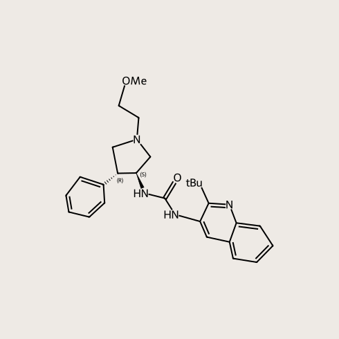 COCCN1C[C@@H](NC(=O)Nc2cc3ccccc3nc2C(C)(C)C)[C@H](c2ccccc2)C1